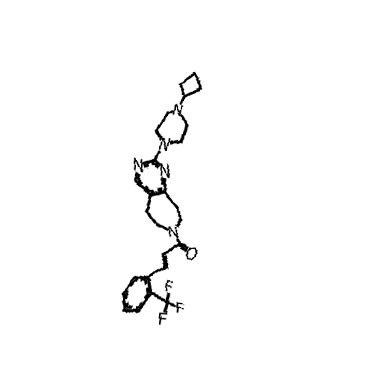 O=C(C=Cc1ccccc1C(F)(F)F)N1CCc2cnc(N3CCN(C4CCC4)CC3)nc2CC1